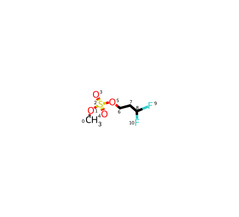 COS(=O)(=O)OCCC(F)F